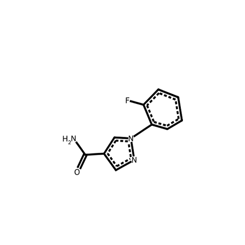 NC(=O)c1cnn(-c2ccccc2F)c1